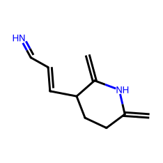 C=C1CCC(/C=C/C=N)C(=C)N1